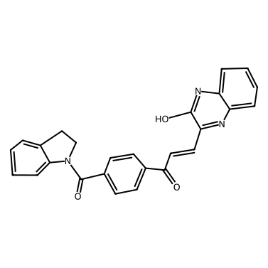 O=C(C=Cc1nc2ccccc2nc1O)c1ccc(C(=O)N2CCc3ccccc32)cc1